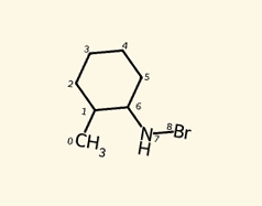 CC1CCCCC1NBr